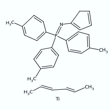 CC=CC=CC.Cc1ccc(P(=NC2=CC=CC2)(c2ccc(C)cc2)c2ccc(C)cc2)cc1.[Ti]